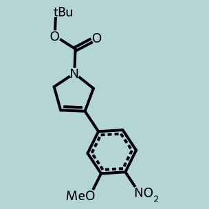 COc1cc(C2=CCN(C(=O)OC(C)(C)C)C2)ccc1[N+](=O)[O-]